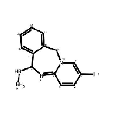 BBC1N=C2C=CC(I)=CN2Cc2ccccc21